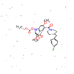 CCOC(=O)On1c2c(OC)c3c(c(C(=O)N4CCC(Cc5ccc(F)cc5)CC4)c(OC)cc31)C(=O)C2=O